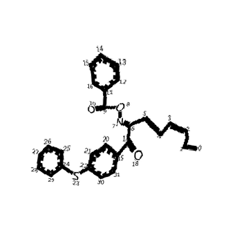 CC\C=C/C=C/C(=N\OC(=O)c1ccccc1)C(=O)c1ccc(Sc2ccccc2)cc1